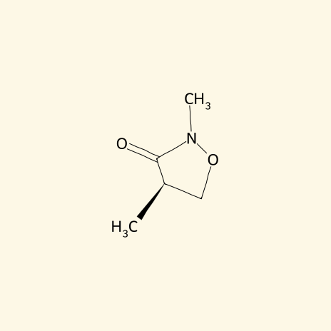 C[C@@H]1CON(C)C1=O